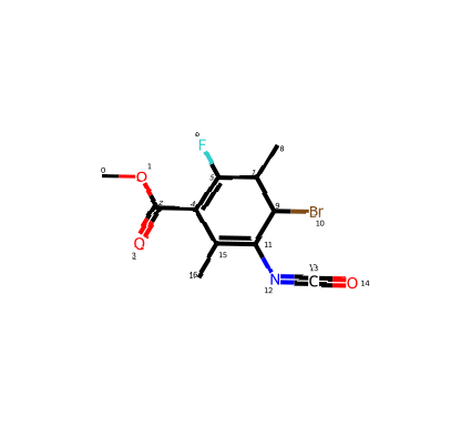 COC(=O)C1=C(F)C(C)C(Br)C(N=C=O)=C1C